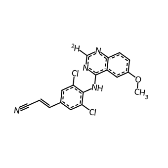 [2H]c1nc(Nc2c(Cl)cc(C=CC#N)cc2Cl)c2cc(OC)ccc2n1